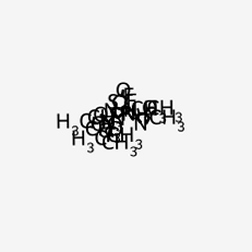 COc1c(C)cnc(Cn2nc3c4c(nc(N(C(=O)OC(C)(C)C)C(=O)OC(C)(C)C)nc42)SCC(=O)C3(F)F)c1C